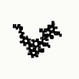 COCCOc1ccc(N(Cc2cccc(C#N)n2)C2CCN([C@H](C)CCNC(=O)c3c(C)cc(F)nc3C)CC2)cc1